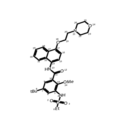 CCS(=O)(=O)Nc1cc(C(C)(C)C)cc(C(=O)Nc2ccc(OCCN3CCOCC3)c3ccccc23)c1OC